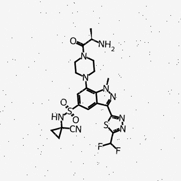 C[C@@H](N)C(=O)N1CCN(c2cc(S(=O)(=O)NC3(C#N)CC3)cc3c(-c4nnc(C(F)F)s4)nn(C)c23)CC1